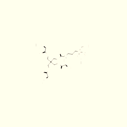 C=CC(=O)OCC(COC(=O)C=C)(COC(=O)C=C)COC(=O)NCCC[Si](OC)(OC)OC